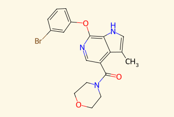 Cc1c[nH]c2c(Oc3cccc(Br)c3)ncc(C(=O)N3CCOCC3)c12